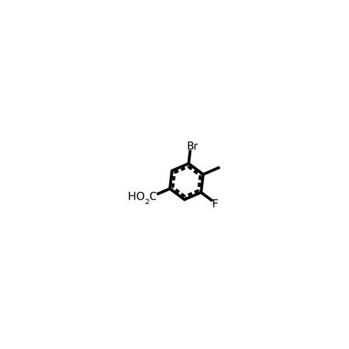 Cc1c(F)cc(C(=O)O)cc1Br